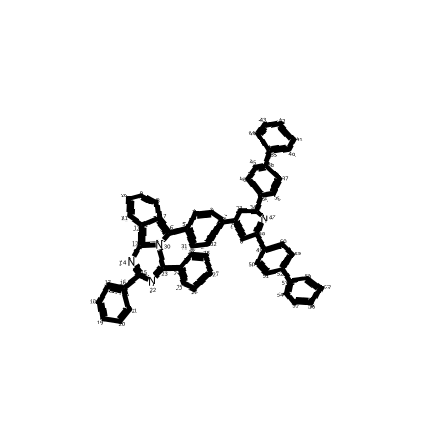 C1=C(c2ccc(-c3c4ccccc4c4nc(-c5ccccc5)nc(-c5ccccc5)n34)cc2)CC(c2ccc(-c3ccccc3)cc2)N=C1c1ccc(-c2ccccc2)cc1